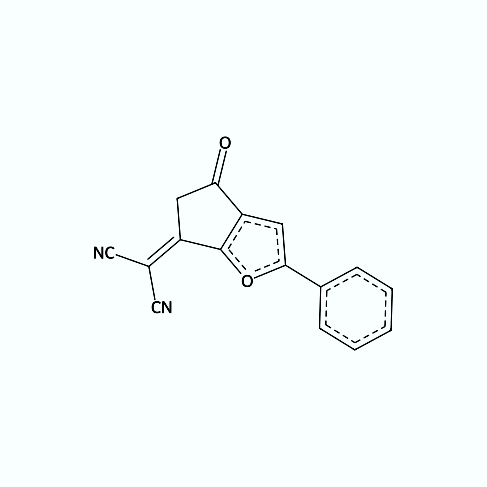 N#CC(C#N)=C1CC(=O)c2cc(-c3ccccc3)oc21